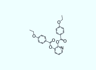 CCOc1ccc(C(=O)Oc2cccnc2OC(=O)c2ccc(OCC)cc2)cc1